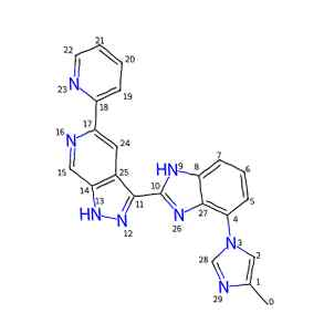 Cc1cn(-c2cccc3[nH]c(-c4n[nH]c5cnc(-c6ccccn6)cc45)nc23)cn1